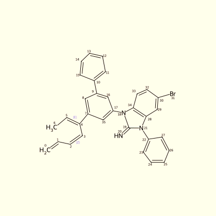 C=C/C=C\C(=C/C)c1cc(-c2ccccc2)cc(-n2c(=N)n(-c3ccccc3)c3cc(Br)ccc32)c1